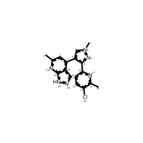 Cc1cc(-c2cn(C)nc2-c2ccc(Cl)c(C)n2)c2cn[nH]c2n1